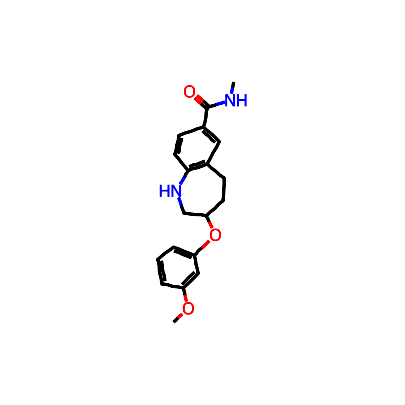 CNC(=O)c1ccc2c(c1)CCC(Oc1cccc(OC)c1)CN2